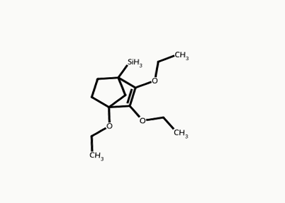 CCOC1=C(OCC)C2(OCC)CCC1([SiH3])C2